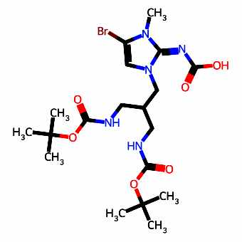 Cn1c(Br)cn(CC(CNC(=O)OC(C)(C)C)CNC(=O)OC(C)(C)C)c1=NC(=O)O